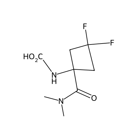 CN(C)C(=O)C1(NC(=O)O)CC(F)(F)C1